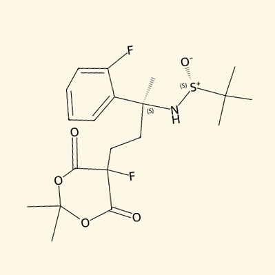 CC1(C)OC(=O)C(F)(CC[C@](C)(N[S@+]([O-])C(C)(C)C)c2ccccc2F)C(=O)O1